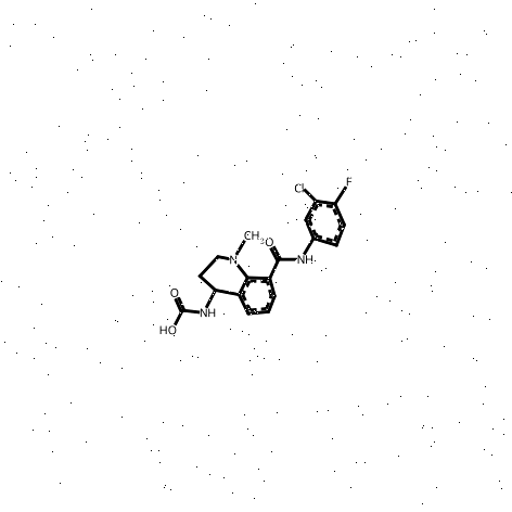 CN1CCC(NC(=O)O)c2cccc(C(=O)Nc3ccc(F)c(Cl)c3)c21